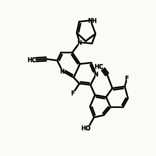 C#Cc1cc(N2CC3CC2=CN3)c2cnc(-c3cc(O)cc4ccc(F)c(C#C)c34)c(F)c2n1